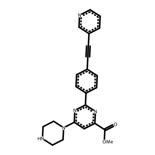 COC(=O)c1cc(N2CCNCC2)nc(-c2ccc(C#Cc3cccnc3)cc2)n1